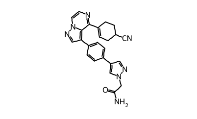 N#CC1CC=C(c2nccn3ncc(-c4ccc(-c5cnn(CC(N)=O)c5)cc4)c23)CC1